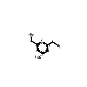 Br.BrCc1cccc(CBr)n1